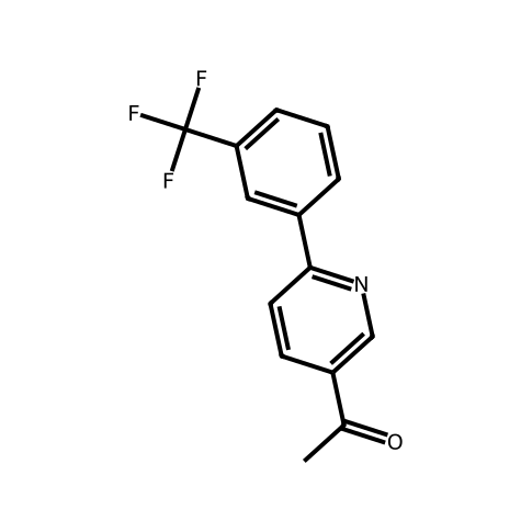 CC(=O)c1ccc(-c2cccc(C(F)(F)F)c2)nc1